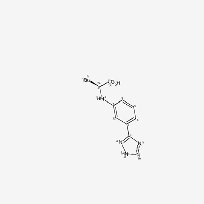 CC(C)(C)[C@H](Nc1cccc(-c2nn[nH]n2)c1)C(=O)O